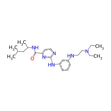 CCN(CC)CCNc1cccc(Nc2nccc(C(=O)NC(C)CC(C)C)n2)c1